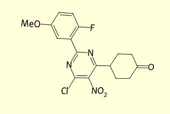 COc1ccc(F)c(-c2nc(Cl)c([N+](=O)[O-])c(C3CCC(=O)CC3)n2)c1